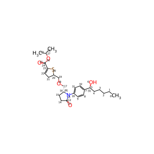 CCCCC[C@H](O)c1ccc(N2C(=O)CC[C@@H]2COCC2CC=C(C(=O)OC(C)C)S2)cc1